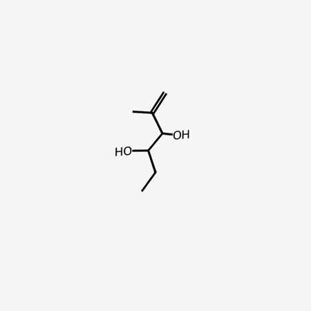 C=C(C)C(O)C(O)CC